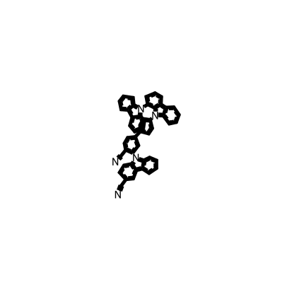 N#Cc1ccc2c(c1)c1ccccc1n2-c1cc(-c2ccc(-n3c4ccccc4c4cccc(-n5c6ccccc6c6ccccc65)c43)cc2)ccc1C#N